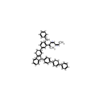 C=C(/C=C\C=C/C)c1cc(C2=Cc3c(c4ccccc4n3-c3ccc(C4=CC=C(c5ccccc5)CC4)cc3)CC2)ccc1Nc1ccccc1